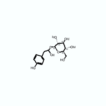 OC[C@H]1O[C@@H](OC(O)Cc2ccc(O)cc2)[C@H](O)[C@@H](O)[C@@H]1O